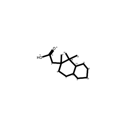 CC1(CC(=O)O)CCC2CCCCC2C1(C)C